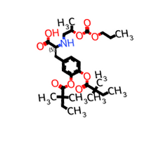 CCCOC(=O)OC(C)CN[C@@H](Cc1ccc(OC(=O)C(C)(C)CC)c(OC(=O)C(C)(C)CC)c1)C(=O)O